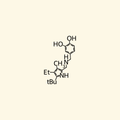 CCc1c(C(C)(C)C)[nH]c(CNCc2ccc(O)c(O)c2)c1C